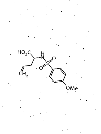 C=CCC(NS(=O)(=O)c1ccc(OC)cc1)C(=O)O